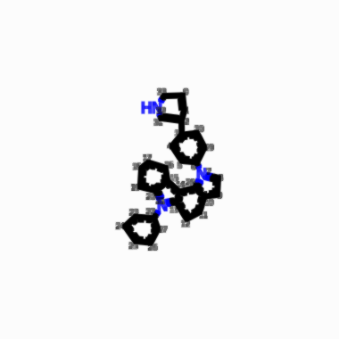 C1=CC(c2ccc(-n3ccc4ccc5c(c6ccccc6n5-c5ccccc5)c43)cc2)=CNC1